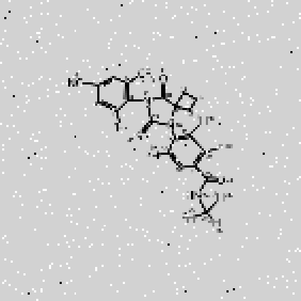 [2H]c1cc(C#N)cc(C(F)(F)F)c1N1C(=O)C2(CCC2)N(c2c([2H])cc(C(=O)NC([2H])([2H])[2H])c(F)c2[2H])C1=S